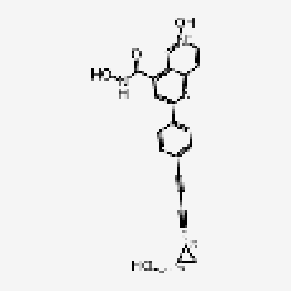 O=C(NO)c1cc(-c2ccc(C#CC#C[C@@H]3C[C@@H]3CO)cc2)nc2cc[n+](O)cc12